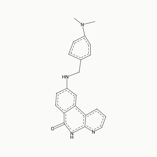 CN(C)c1ccc(CNc2ccc3c(=O)[nH]c4ncccc4c3c2)cc1